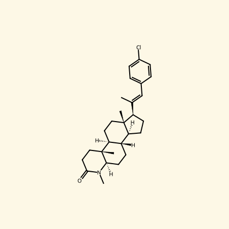 C/C(=C\c1ccc(Cl)cc1)[C@H]1CC[C@H]2[C@@H]3CC[C@H]4N(C)C(=O)CC[C@]4(C)[C@H]3CC[C@]12C